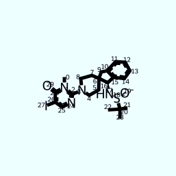 Cn1c(N2CCC3(CC2)Cc2ccccc2[C@H]3N[S@+]([O-])C(C)(C)C)ncc(I)c1=O